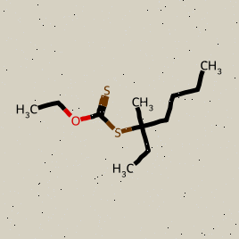 CCCCC(C)(CC)SC(=S)OCC